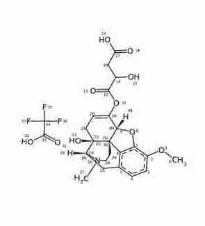 COc1ccc2c3c1O[C@H]1C(OC(=O)C(O)CC(=O)O)=CC[C@@]4(O)[C@@H](C2)N(C)CC[C@]314.O=C(O)C(F)(F)F